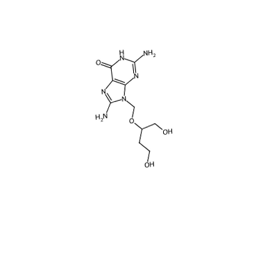 Nc1nc2c(nc(N)n2COC(CO)CCO)c(=O)[nH]1